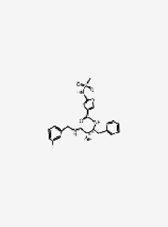 CS(=O)(=O)Nc1nc(C(=O)N[C@@H](Cc2ccccc2)[C@H](O)CNCc2cccc(I)c2)co1